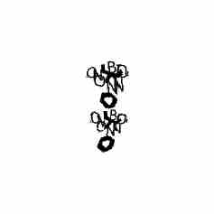 CON=C(C)C1(Br)C(=O)N(c2ccccc2)N=C1OC.CON=C(C)C1(Br)C(=O)N(c2ccccc2)N=C1OC